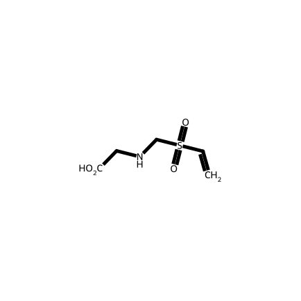 C=CS(=O)(=O)CNCC(=O)O